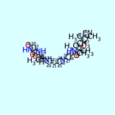 Cc1cc(O[C@H]2C(C)(C)[C@H](NC(=O)c3ccc(N4CCC(CC5CCN(C67CC(C(=O)NC8CCC(=O)NC8=O)(C6)[C@@H]7C)CC5)CC4)cc3)C2(C)C)cc(C)c1C#N